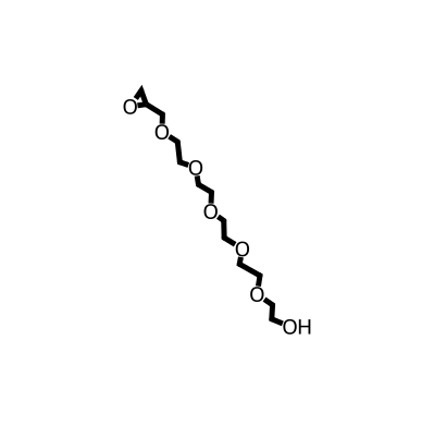 OCCOCCOCCOCCOCCOCC1CO1